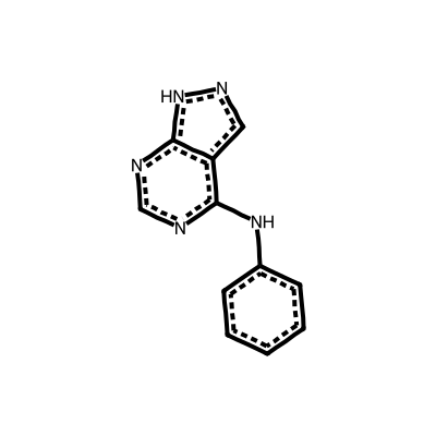 c1ccc(Nc2ncnc3[nH]ncc23)cc1